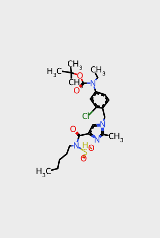 CCCCCN(C(=O)c1cn(Cc2ccc(N(CC)C(=O)OC(C)(C)C)cc2Cl)c(C)n1)[SH](=O)=O